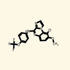 COc1ccc2nc(Nc3ccc(OC(F)(F)F)cc3)c3nccn3c2c1Cl